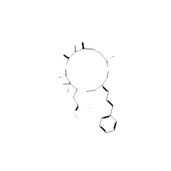 CC[C@@H](C)/C(=N\C(C)=O)[C@H](C)[C@H]1CC/C(=C\C=C\c2ccccc2)CO[C@H](C)C[C@@H](C)C(=O)[C@](C)(F)C(=O)O[C@H](CC)[C@@]1(C)O